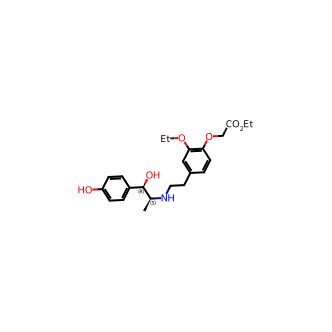 CCOC(=O)COc1ccc(CCN[C@@H](C)[C@H](O)c2ccc(O)cc2)cc1OCC